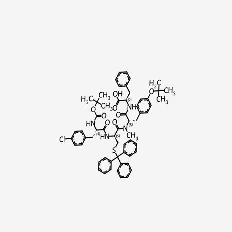 CN(C(=O)[C@@H](CSC(c1ccccc1)(c1ccccc1)c1ccccc1)NC(=O)[C@H](Cc1ccc(Cl)cc1)NC(=O)OC(C)(C)C)[C@@H](Cc1ccc(OC(C)(C)C)cc1)C(=O)N[C@H](Cc1ccccc1)C(=O)O